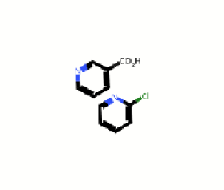 Clc1ccccn1.O=C(O)c1cccnc1